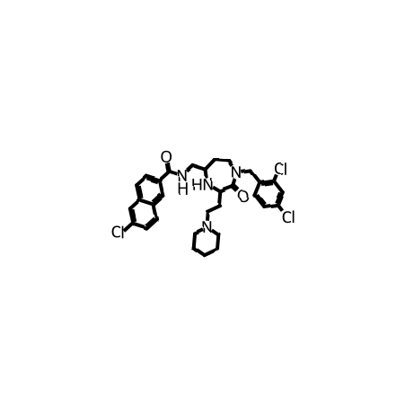 O=C(NCC1CCN(Cc2ccc(Cl)cc2Cl)C(=O)C(CCN2CCCCC2)N1)c1ccc2cc(Cl)ccc2c1